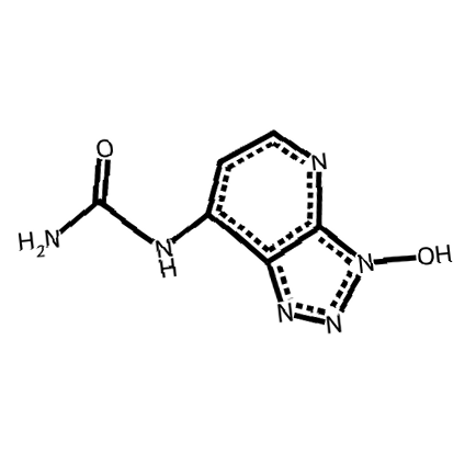 NC(=O)Nc1ccnc2c1nnn2O